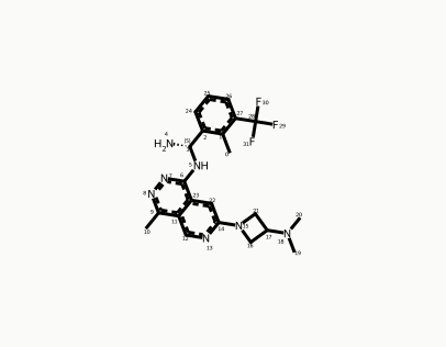 Cc1c([C@@H](N)Nc2nnc(C)c3cnc(N4CC(N(C)C)C4)cc23)cccc1C(F)(F)F